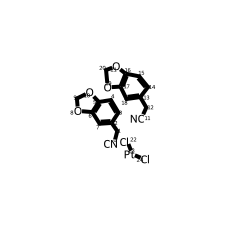 N#CCc1ccc2c(c1)OCO2.N#CCc1ccc2c(c1)OCO2.[Cl][Pt][Cl]